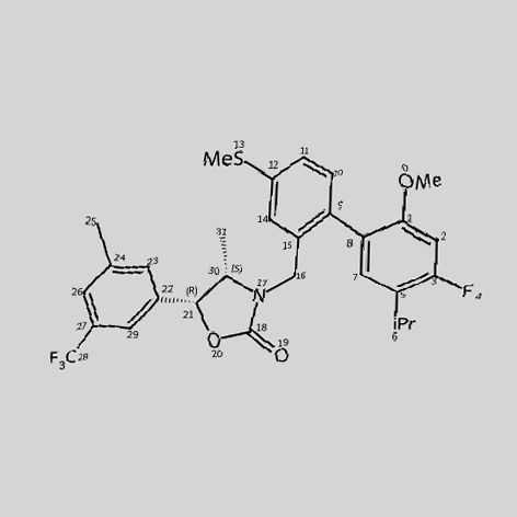 COc1cc(F)c(C(C)C)cc1-c1ccc(SC)cc1CN1C(=O)O[C@H](c2cc(C)cc(C(F)(F)F)c2)[C@@H]1C